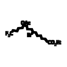 CCOC(=O)CCCCCCC(Br)CCCC(CCCCC(F)(F)F)OC(C)=O